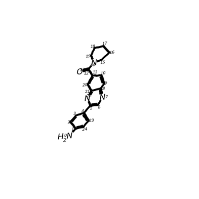 Nc1ccc(-c2cnc3ccc(C(=O)N4CCCCC4)cc3n2)cc1